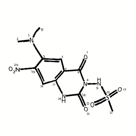 CN(C)c1cc2c(=O)n(NS(C)(=O)=O)c(=O)[nH]c2cc1[N+](=O)[O-]